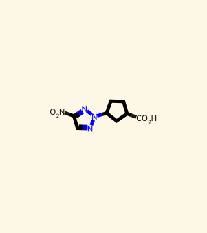 O=C(O)C1CCC(n2ncc([N+](=O)[O-])n2)C1